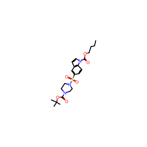 CCCCOC(=O)n1ccc2cc(S(=O)(=O)N3CCN(C(=O)OC(C)(C)C)CC3)ccc21